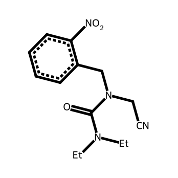 CCN(CC)C(=O)N(CC#N)Cc1ccccc1[N+](=O)[O-]